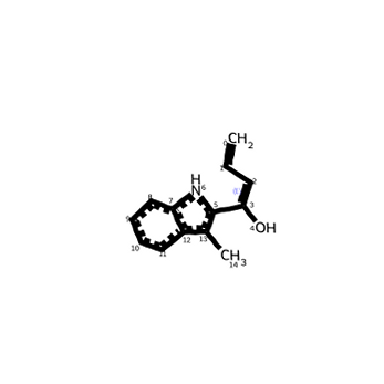 C=C/C=C(/O)c1[nH]c2ccccc2c1C